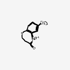 O=Cc1ccc2c(c1)NC(=O)CCS2